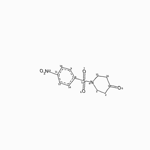 O=C1CCN(S(=O)(=O)c2ccc([N+](=O)[O-])cc2)CC1